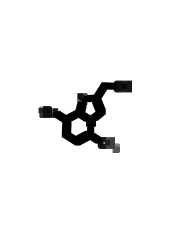 Cc1ccc(C(C)(C)C)c2nc(CO)cn12